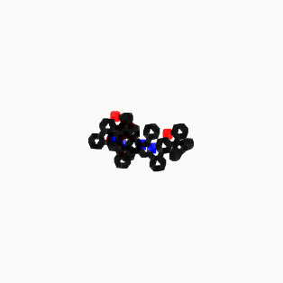 C1=CC2C(C(c3cccc(-c4cc(-c5ccccc5-c5ccc6c(c5)C5(c7ccccc7O6)c6ccccc6-c6ccccc65)nc(-c5ccccc5)n4)c3)=C1)c1ccccc1C21c2ccccc2Oc2ccc(-c3ccccc3-c3cc(-c4ccccc4-c4ccccc4)nc(-c4ccccc4)n3)cc21